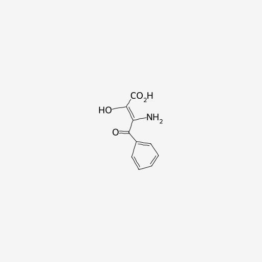 NC(C(=O)c1ccccc1)=C(O)C(=O)O